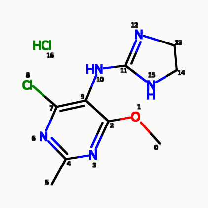 COc1nc(C)nc(Cl)c1NC1=NCCN1.Cl